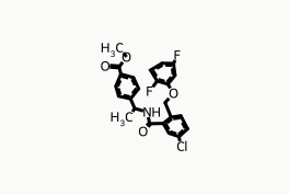 COC(=O)c1ccc(C(C)NC(=O)c2cc(Cl)ccc2COc2cc(F)ccc2F)cc1